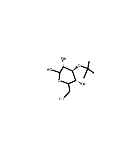 CC(C)(C)O[C@H]1[C@H](O)C(CO)OC(O)[C@@H]1O